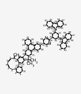 C=C1/C=C\C=C/Cc2ccccc2-c2cc3c(cc21)-c1cc2c4ccccc4c4cc(-c5cnc(-c6cc(-n7c8ccccc8c8ccccc87)cc(-n7c8ccccc8c8ccccc87)c6)nc5)ccc4c2cc1C3(C)C